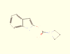 O=C(Oc1cc2ccccc2[nH]1)N1CCC1